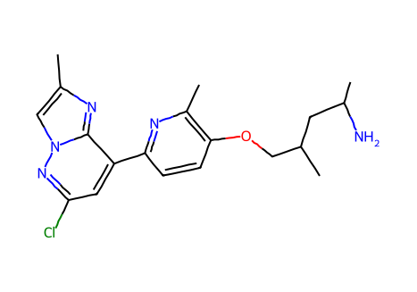 Cc1cn2nc(Cl)cc(-c3ccc(OCC(C)CC(C)N)c(C)n3)c2n1